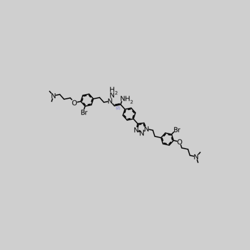 CN(C)CCCOc1ccc(CCN(N)/C=C(\N)c2ccc(-c3cn(CCc4ccc(OCCCN(C)C)c(Br)c4)nn3)cc2)cc1Br